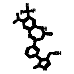 CN(C)c1cc2c(cc1C(F)(F)F)NC(=O)CC(c1cccc(-c3c(CO)cnn3C)c1)=N2